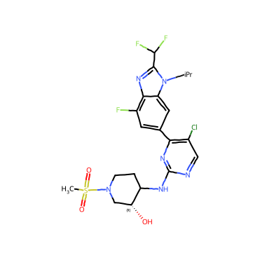 CC(C)n1c(C(F)F)nc2c(F)cc(-c3nc(NC4CCN(S(C)(=O)=O)C[C@H]4O)ncc3Cl)cc21